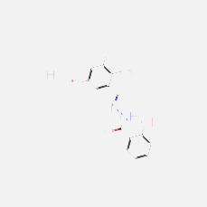 COc1cc(Br)c(O)c(C=NNC(=O)c2ccccc2O)c1